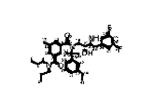 CCCN(CCC)C(=O)c1cc(C)cc(C(=O)N(C[C@@H](O)[C@@H](N)Cc2cc(F)cc(F)c2)C(C)(C)c2cccc(CC)c2)c1